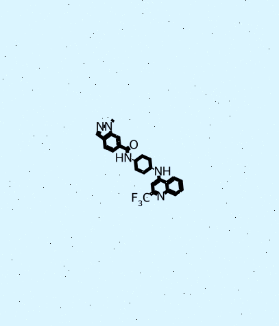 Cn1ncc2ccc(C(=O)N[C@H]3CC[C@@H](Nc4cc(C(F)(F)F)nc5ccccc45)CC3)cc21